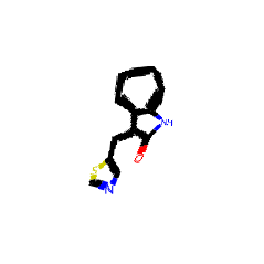 O=C1Nc2ccccc2/C1=C/c1cncs1